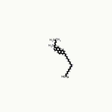 CC(C)CCC[C@@H](C)[C@H]1CCC2C3CC=C4CC(CCCCCCCC/C=C\CCCCCCCC(=O)O)CC[C@]4(C)C3CC[C@@]21C